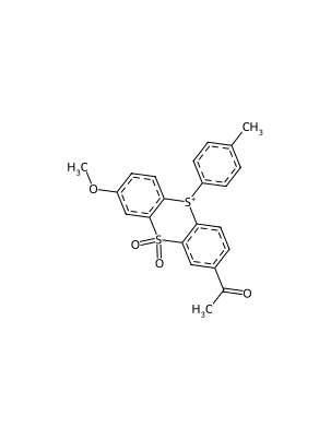 COc1ccc2c(c1)S(=O)(=O)c1cc(C(C)=O)ccc1[S+]2c1ccc(C)cc1